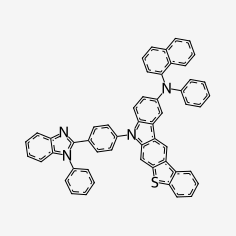 c1ccc(N(c2ccc3c(c2)c2cc4c(cc2n3-c2ccc(-c3nc5ccccc5n3-c3ccccc3)cc2)sc2ccccc24)c2cccc3ccccc23)cc1